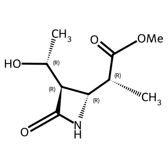 COC(=O)[C@H](C)[C@@H]1NC(=O)[C@H]1[C@@H](C)O